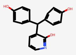 Oc1ccc(C(c2ccc(O)cc2)c2cccnc2O)cc1